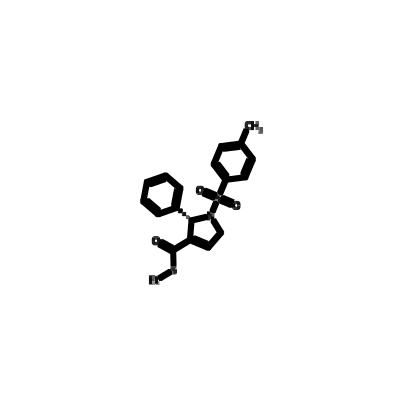 CCSC(=O)C1=CCN(S(=O)(=O)c2ccc(C)cc2)[C@H]1c1ccccc1